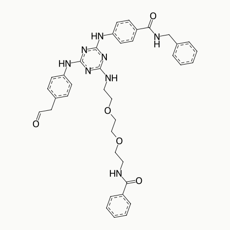 O=CCc1ccc(Nc2nc(NCCOCCOCCNC(=O)c3ccccc3)nc(Nc3ccc(C(=O)NCc4ccccc4)cc3)n2)cc1